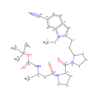 CCn1c(CCC2CCCN2C(=O)C2CCCN2C(=O)CC(C)NC(=O)OC(C)(C)C)cc2ccc(C#N)cc21